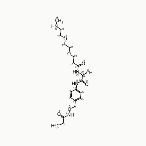 CCC(=O)NOCc1ccc(NC(=O)[C@H](C)NC(=O)CCOCCOCCNC)cc1